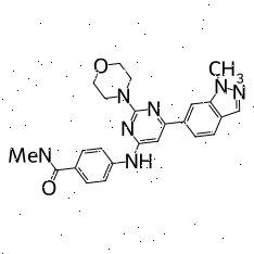 CNC(=O)c1ccc(Nc2cc(-c3ccc4cnn(C)c4c3)nc(N3CCOCC3)n2)cc1